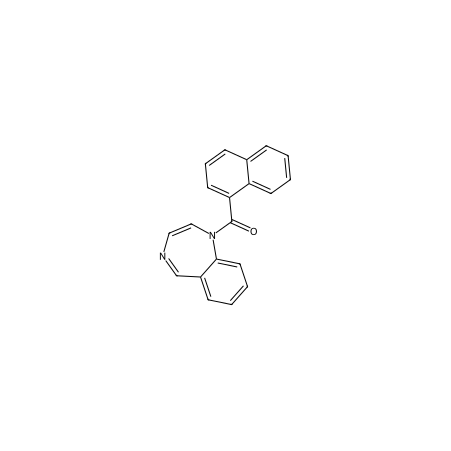 O=C(c1cccc2ccccc12)N1C=CN=Cc2ccccc21